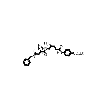 CCOC(=O)c1ccc(NC(=O)CCC(C)CNC(=O)[C@H](N)CC(=O)OCc2ccccc2)cc1